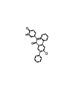 O=C(Nc1ccc(=O)[nH]c1)c1cc(-c2ccccc2)c(Cl)cc1-c1ccccn1